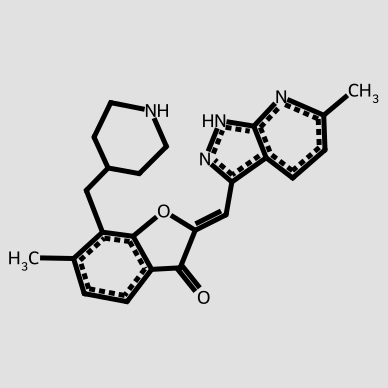 Cc1ccc2c(/C=C3\Oc4c(ccc(C)c4CC4CCNCC4)C3=O)n[nH]c2n1